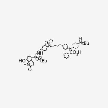 CC(C)(C)NC1CCC(N(C(=O)O)c2ccc(CCCCn3c(=O)oc4cc(CNC[C@H](O[Si](C)(C)C(C)(C)C)c5ccc(O)c6[nH]c(=O)ccc56)ccc43)cc2-c2ccccc2)CC1